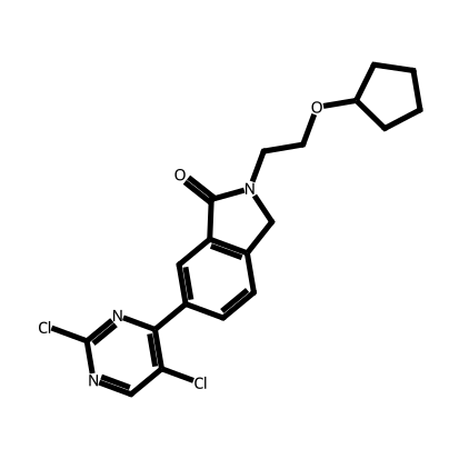 O=C1c2cc(-c3nc(Cl)ncc3Cl)ccc2CN1CCOC1CCCC1